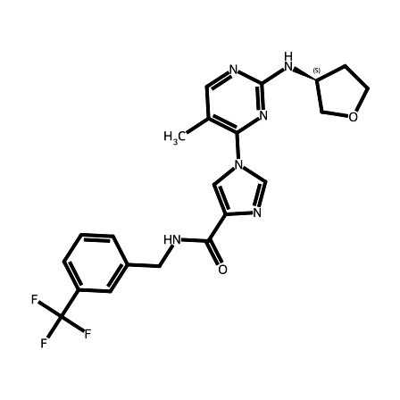 Cc1cnc(N[C@H]2CCOC2)nc1-n1cnc(C(=O)NCc2cccc(C(F)(F)F)c2)c1